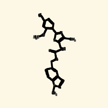 COc1cc(Cl)ccc1-c1nc(C)c(NC(=O)OCc2ccc3c(cnn3C)c2)s1